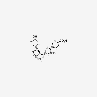 O=C(O)C1CCN(c2ccc(Nc3nc(N4CCC(O)CC4)ccc3[N+](=O)[O-])cc2F)CC1